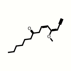 C#C/C=C(\C=C/CC(=O)CCCCCC)OC